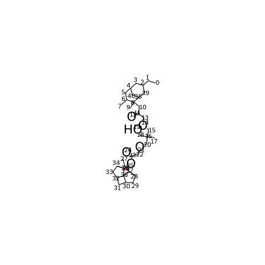 CCC1CC2CC(C)C(C)(CC(=O)COCC(C)(CO)COCC(=O)OC3(C)C4CC5CC6CC3CC56C4)C(C1)C2